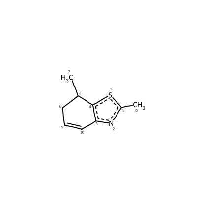 Cc1nc2c(s1)C(C)CC=C2